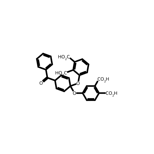 O=C(O)c1ccc(OC2(Oc3cccc(C(=O)O)c3C(=O)O)C=CC(C(=O)c3ccccc3)C=C2)cc1C(=O)O